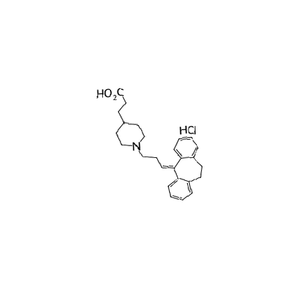 Cl.O=C(O)CCC1CCN(CCC=C2c3ccccc3CCc3ccccc32)CC1